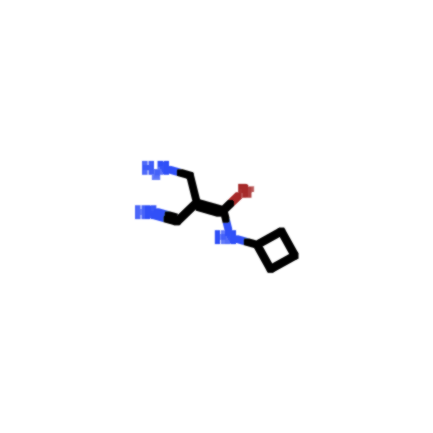 N=C/C(CN)=C(/Br)NC1CCC1